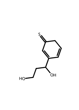 OCCC(O)C1=CC(=S)CC=C1